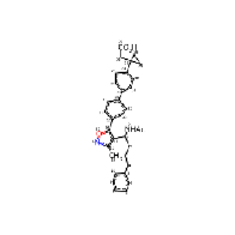 CC(=O)NC(CCCc1ccccc1)c1c(C)noc1-c1ccc(-c2ccc(C3(CC(=O)O)CC3)cc2)cc1